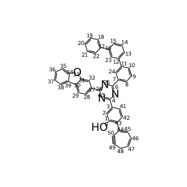 Oc1cc(-c2nc(-c3cccc(-c4cccc(-c5ccccc5)c4)c3)nc(-c3ccc4c(c3)oc3ccccc34)n2)ccc1C1=CC=CCC#C1